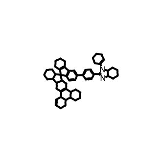 C1=CC2C3=C(CC4C(C3)C3CCCCC3C43C4=C(CCCC4)c4cc(-c5ccc(C6=NC7CCCCC7N6C6=CCCCC6)cc5)ccc43)C3CCCCC3C2CC1